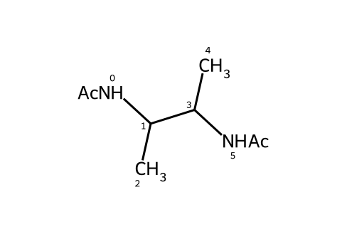 CC(=O)NC(C)C(C)NC(C)=O